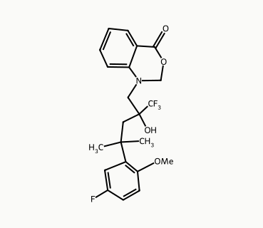 COc1ccc(F)cc1C(C)(C)CC(O)(CN1COC(=O)c2ccccc21)C(F)(F)F